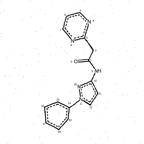 O=C(Cc1ncccn1)Nc1ccn(-c2ccccc2)n1